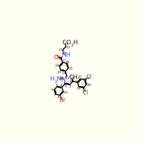 C=C(/C=C(/c1cccc(Br)c1)N(N)Cc1ccc(C(=O)NCCC(=O)O)cc1)c1cc(Cl)cc(Cl)c1